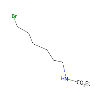 CCOC(=O)NCCCCCCBr